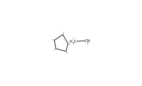 C1CCCC1.CC#N